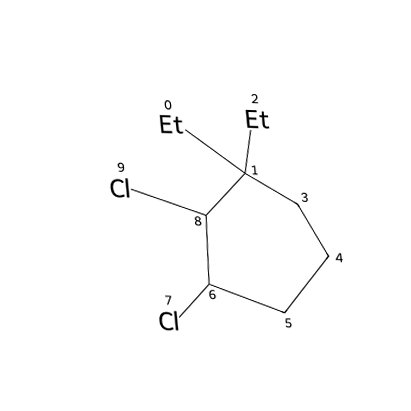 CCC1(CC)CCCC(Cl)C1Cl